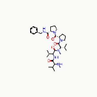 CNC(C(=O)N[C@H](C(=O)N(C)[C@H](C(=O)N1CCC[C@H]1C(=O)N1CCC[C@H]1C(=O)NCc1ccccc1)C(C)C)C(C)C)C(C)C